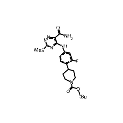 CSc1nnc(C(N)=O)c(Nc2ccc(C3CCN(C(=O)OC(C)(C)C)CC3)c(F)c2)n1